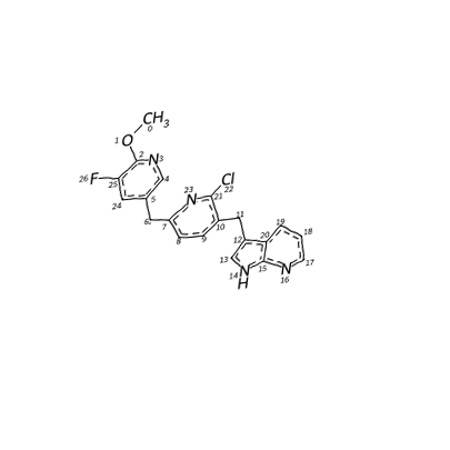 COc1ncc([CH]c2ccc(Cc3c[nH]c4ncccc34)c(Cl)n2)cc1F